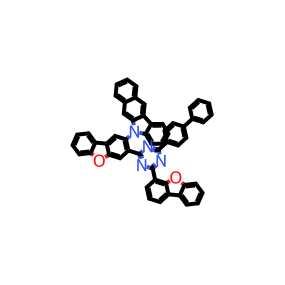 c1ccc(-c2ccc(-c3nc(-c4cc5oc6ccccc6c5cc4-n4c5ccccc5c5cc6ccccc6cc54)nc(-c4cccc5c4oc4ccccc45)n3)cc2)cc1